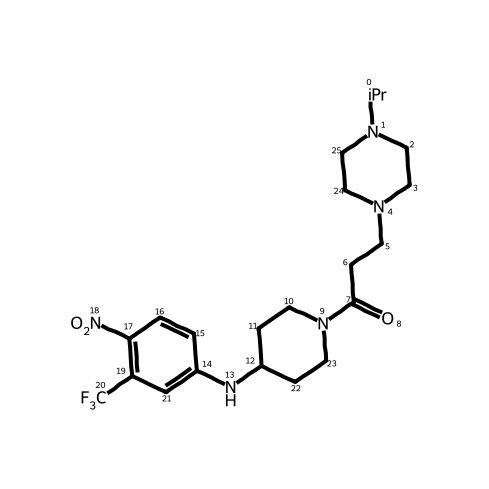 CC(C)N1CCN(CCC(=O)N2CCC(Nc3ccc([N+](=O)[O-])c(C(F)(F)F)c3)CC2)CC1